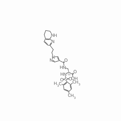 Cc1cc(C)c(S(=O)(=O)N[C@@H](CNC(=O)c2cnn(CCc3ccc4c(n3)NCCC4)c2)C(=O)O)c(C)c1